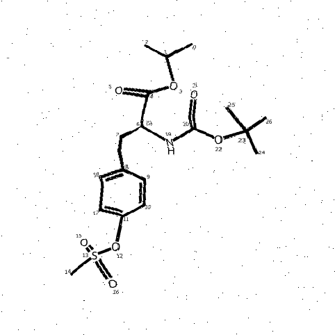 CC(C)OC(=O)[C@H](Cc1ccc(OS(C)(=O)=O)cc1)NC(=O)OC(C)(C)C